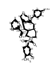 Cc1ccc(S(=O)(=O)N2CCC3=Cc4c(cnn4-c4ccc(F)cc4)C[C@]3(C(=O)c3nccs3)C2)cc1F